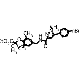 CCCCc1ccc(-c2cc(C(=O)NCc3cc(C)c(OC(C)(C)C(=O)OCC)c(Cl)c3)nn2C)cc1